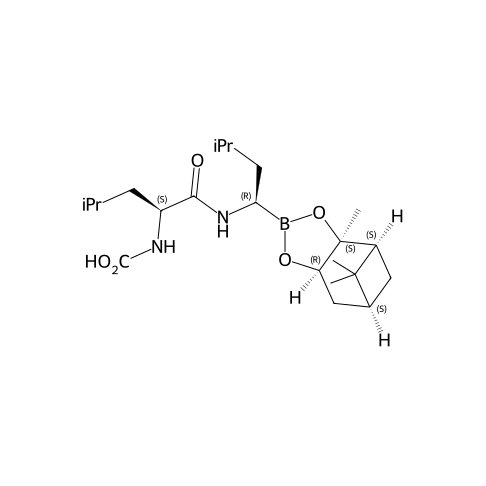 CC(C)C[C@H](NC(=O)[C@H](CC(C)C)NC(=O)O)B1O[C@@H]2C[C@@H]3C[C@@H](C3(C)C)[C@]2(C)O1